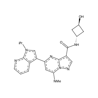 CNc1cc(-c2cn(C(C)C)c3ncccc23)nc2c(C(=O)N[C@H]3C[C@H](O)C3)cnn12